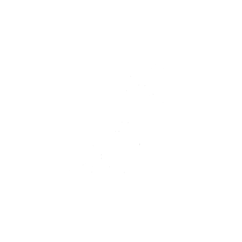 Cc1ccc(-c2c3ccccc3c(C3=CC=CC4c5cc(-c6c7ccccc7c(-c7ccc(C)s7)c7ccccc67)ccc5OC34)c3ccccc23)s1